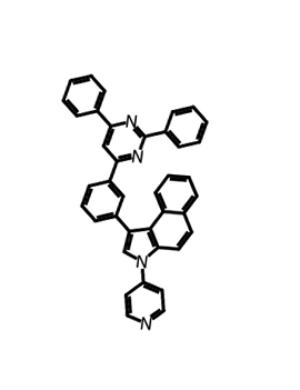 c1ccc(-c2cc(-c3cccc(-c4cn(-c5ccncc5)c5ccc6ccccc6c45)c3)nc(-c3ccccc3)n2)cc1